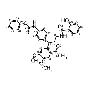 COc1cc(C(C)=O)c(C(CCNC(=O)c2ccccc2O)c2ccc(NC(=O)Oc3ccccc3)cc2)cc1OC